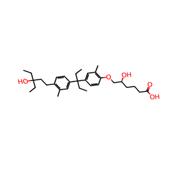 CCC(O)(CC)CCc1ccc(C(CC)(CC)c2ccc(OC[C@@H](O)CCCC(=O)O)c(C)c2)cc1C